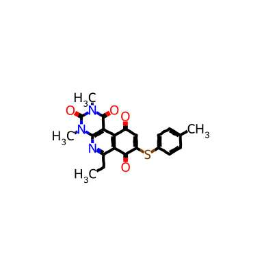 CCc1nc2c(c3c1C(=O)C(Sc1ccc(C)cc1)=CC3=O)c(=O)n(C)c(=O)n2C